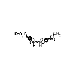 C=CCOC(=O)CCc1ccc(OC(=O)NCCCNC(=O)Oc2ccc(CCC(=O)OCC)cc2)cc1